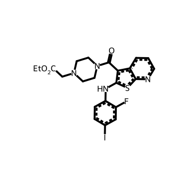 CCOC(=O)CN1CCN(C(=O)c2c(Nc3ccc(I)cc3F)sc3ncccc23)CC1